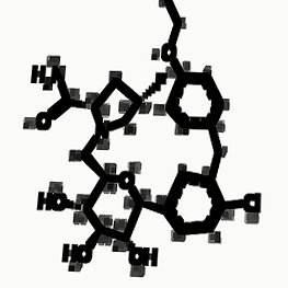 CCOc1ccc(Cc2cc([C@@H]3O[C@H](CN4C[C@@H](F)C[C@H]4C(N)=O)[C@@H](O)[C@H](O)[C@H]3O)ccc2Cl)cc1